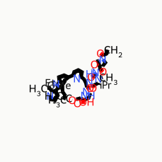 C=CC(=O)N1CC[C@]2(C1)OCN(C(=O)N(C)[C@H](C(=O)N[C@H]1Cc3cccc(n3)-c3ccc4c(c3)c(c(-c3cccnc3[C@H](C)OC)n4CC)CC(C)(C)COC(=O)[C@@]3(O)CCCN(N3)C1=O)C(C)C)C2=O